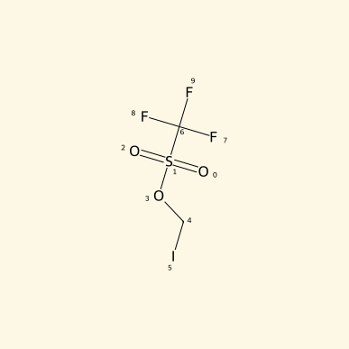 O=S(=O)(OCI)C(F)(F)F